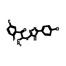 CC(Sc1nnc(-c2ccc(Cl)cc2)[nH]1)C(=O)c1cc(F)ccc1F